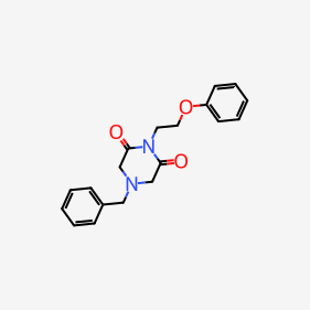 O=C1CN(Cc2ccccc2)CC(=O)N1CCOc1ccccc1